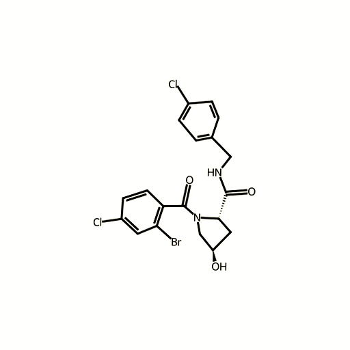 O=C(NCc1ccc(Cl)cc1)[C@@H]1C[C@@H](O)CN1C(=O)c1ccc(Cl)cc1Br